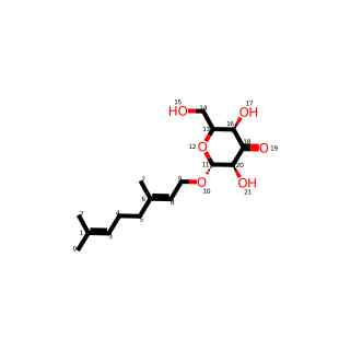 CC(C)=CCC/C(C)=C/CO[C@@H]1OC(CO)[C@@H](O)C(=O)[C@H]1O